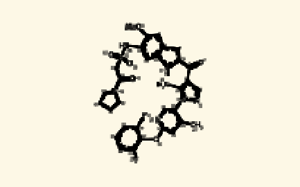 COc1cc2cc(C(=O)c3cnn(-c4cnc(Oc5c(F)cccc5F)cc4C)c3N)[nH]c2cc1NS(=O)(=O)CC(=O)N1CCCC1